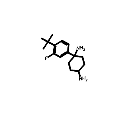 CC(C)(C)c1ccc(C2(N)CCC(N)CC2)cc1F